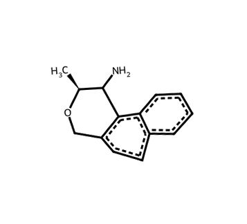 C[C@@H]1OCc2ccc3ccccc3c2C1N